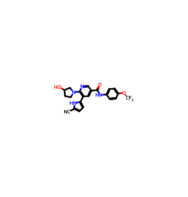 N#Cc1ccc(-c2cc(C(=O)Nc3ccc(OC(F)(F)F)cc3)cnc2N2CCC(O)C2)[nH]1